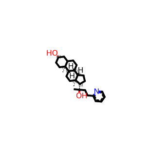 CC(O)(CCc1ccccn1)[C@H]1CC[C@H]2[C@@H]3CCC4C[C@@H](O)CC[C@]4(C)[C@H]3CC[C@]12C